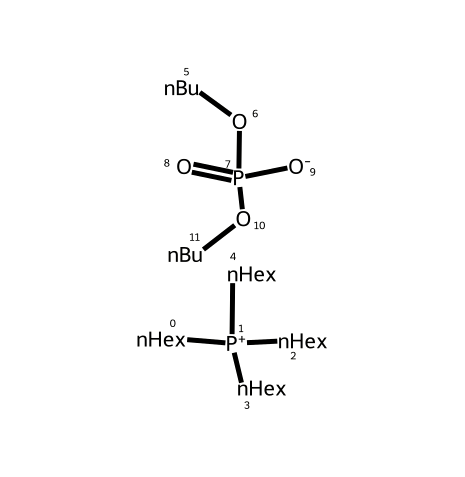 CCCCCC[P+](CCCCCC)(CCCCCC)CCCCCC.CCCCOP(=O)([O-])OCCCC